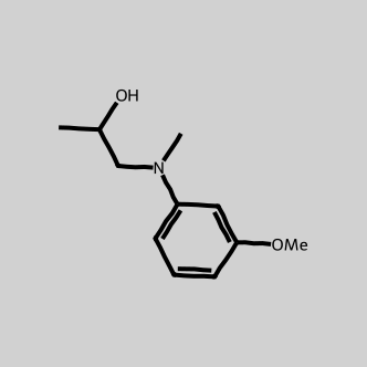 COc1cccc(N(C)CC(C)O)c1